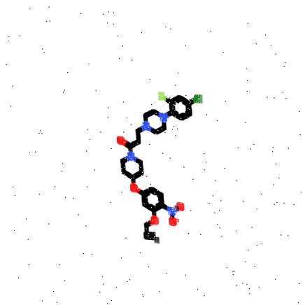 CCOc1cc(OC2CCN(C(=O)CCN3CCN(c4ccc(Cl)cc4F)CC3)CC2)ccc1[N+](=O)[O-]